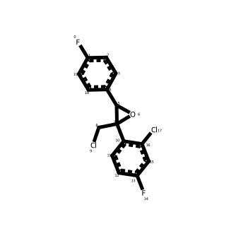 Fc1ccc(C2OC2(CCl)c2ccc(F)cc2Cl)cc1